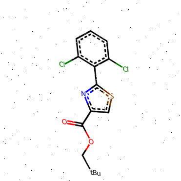 CC(C)(C)COC(=O)c1csc(-c2c(Cl)cccc2Cl)n1